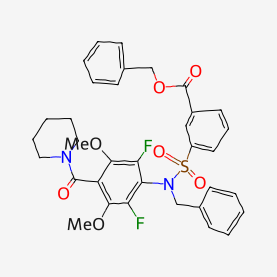 COc1c(F)c(N(Cc2ccccc2)S(=O)(=O)c2cccc(C(=O)OCc3ccccc3)c2)c(F)c(OC)c1C(=O)N1CCCCC1